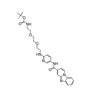 CC(C)(C)OC(=O)NCCOCCOCCNc1ccc(NC(=O)c2ccn3c(c2)nc2ccccc23)cn1